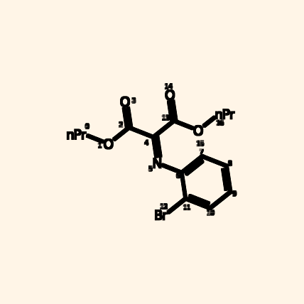 CCCOC(=O)C(=Nc1ccccc1Br)C(=O)OCCC